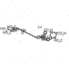 O=C(O)CC[C@H](NC(=O)N[C@@H](CCCCNC(=O)CCCCCCCCCCN1CCN(c2nc(Nc3ccc(CC4CN(CC(=O)O)CCN(CC(=O)O)CCN(CC(=O)O)CCN4CC(=O)O)cc3)nc(N3CCCCC3)n2)CC1)C(=O)O)C(=O)O.[Lu]